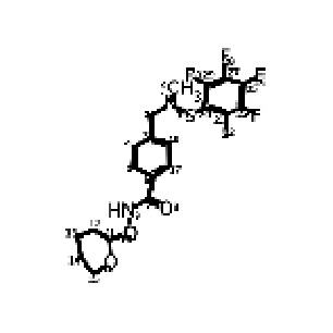 CN(Cc1ccc(C(=O)NOC2CCCCO2)cc1)Sc1c(F)c(F)c(F)c(F)c1F